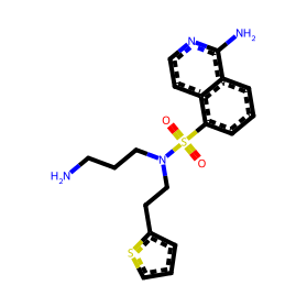 NCCCN(CCc1cccs1)S(=O)(=O)c1cccc2c(N)nccc12